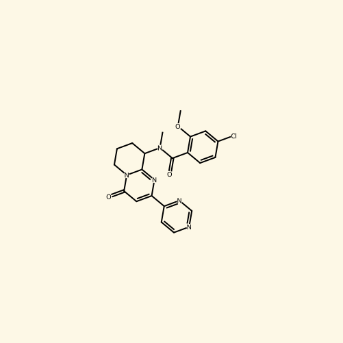 COc1cc(Cl)ccc1C(=O)N(C)C1CCCn2c1nc(-c1ccncn1)cc2=O